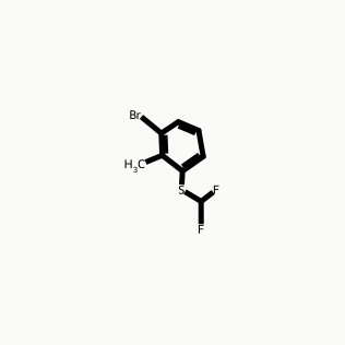 Cc1c(Br)cccc1SC(F)F